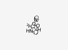 [2H]c1[nH]c2cccc([2H])c2c1C(=O)OC1CC2CCC(C1)N2C